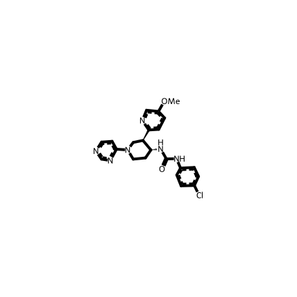 COc1ccc([C@@H]2CN(c3ccncn3)CC[C@H]2NC(=O)Nc2ccc(Cl)cc2)nc1